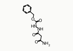 NC(=O)CC(=O)NNC(=O)OCc1ccccc1